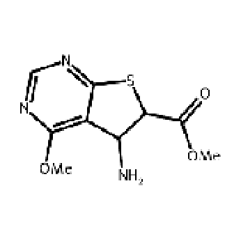 COC(=O)C1Sc2ncnc(OC)c2C1N